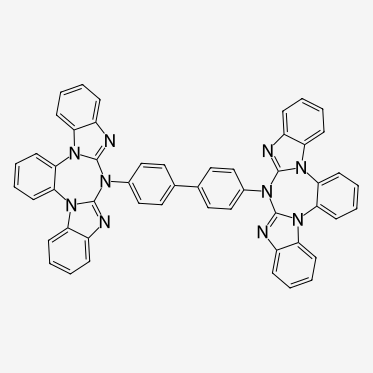 c1ccc2c(c1)nc1n(-c3ccc(-c4ccc(-n5c6nc7ccccc7n6c6ccccc6n6c7ccccc7nc56)cc4)cc3)c3nc4ccccc4n3c3ccccc3n21